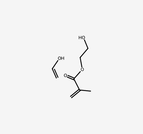 C=C(C)C(=O)OCCO.C=CO